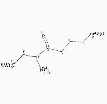 CCCCCCCCCCC(=O)C(N)CC(=O)OCC